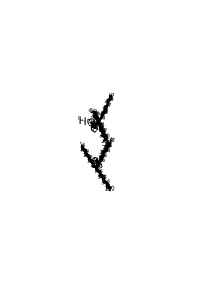 CCCCCCCCC(CCCCCCCC)OC(=O)CCCCCCCN(C)CCCCCCC(C(=O)O)C(CCC)CCCCCCCC